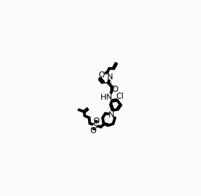 C=CCC1=N[C@@H]([C@H]2OC2Nc2cc(N3CCC=C(CS(=O)(=O)CCCC(=C)C)CC3)ccc2Cl)C#CO1